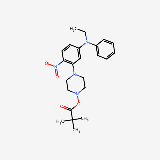 CCN(c1ccccc1)c1ccc([N+](=O)[O-])c(N2CCN(OC(=O)C(C)(C)C)CC2)c1